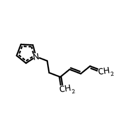 C=CC=CC(=C)CCn1cccc1